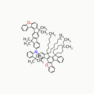 CCCCCCCC1(CCCCCCC)c2cc(N(c3ccc4c(c3)C(C)(C)c3cc5c(cc3-4)C(C)(C)c3ccc4oc6ccccc6c4c3-5)c3ccccc3C(C)(C)C)ccc2-c2c1c1c(c3c2oc2ccccc23)-c2ccccc2C1(CCCCCCC)CCCCCCC